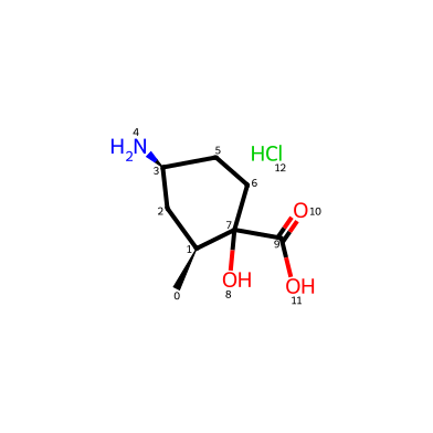 C[C@H]1C[C@@H](N)CCC1(O)C(=O)O.Cl